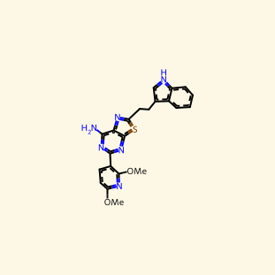 COc1ccc(-c2nc(N)c3nc(CCc4c[nH]c5ccccc45)sc3n2)c(OC)n1